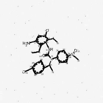 CCc1c(N)cc(Cl)c(CC)c1NC(=O)N(c1ccc([S+](C)[O-])cc1)C(C)c1ccc(Cl)cc1